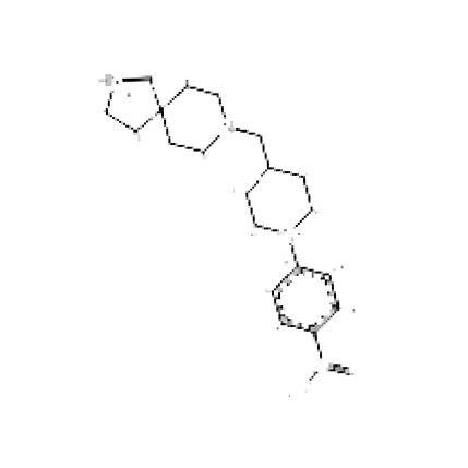 O=[N+]([O-])c1ccc(N2CCC(CN3CCC4(CCNC4)CC3)CC2)cc1